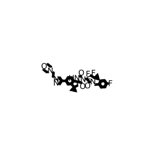 O=C1N[C@]2(CC3(CC3)c3cc(-c4cnn(CCN5CCOCC5)c4)ccc32)C(=O)N1CC(=O)N(Cc1ccc(F)cc1)C1(C(F)(F)F)CC1